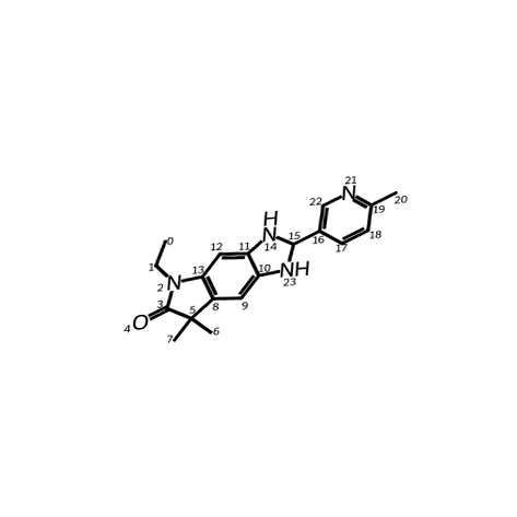 CCN1C(=O)C(C)(C)c2cc3c(cc21)NC(c1ccc(C)nc1)N3